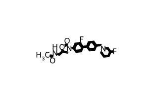 CC(=O)NCC1CN(c2ccc(-c3ccc(CN4CCCC(F)C4)cc3)c(F)c2)C(=O)O1